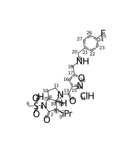 CC(C)[C@H]1C(=O)N(S(C)(=O)=O)[C@H]2CCN(C(=O)c3cc(CNCc4ccc(F)cc4)on3)[C@H]12.Cl